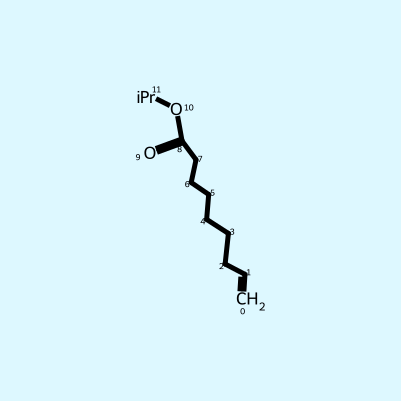 C=CCCCCCCC(=O)OC(C)C